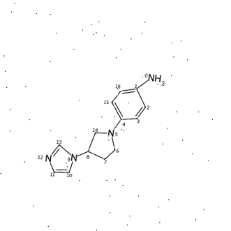 Nc1ccc(N2CCC(n3ccnc3)C2)cc1